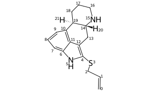 C=CCSc1[nH]c2cccc3c2c1C[C@H]1NCCC[C@H]31